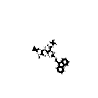 COC(=O)[C@H](CC1(F)CC1)NC(=O)[C@@H](NC(=O)OCC1c2ccccc2-c2ccccc21)[C@@H](C)OC(C)(C)C